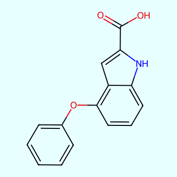 O=C(O)c1cc2c(Oc3ccccc3)cccc2[nH]1